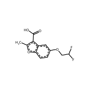 Cc1oc2ccc(OCC(F)F)cc2c1C(=O)O